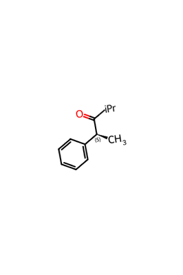 CC(C)C(=O)[C@@H](C)c1ccccc1